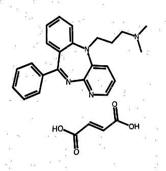 CN(C)CCCN1c2ccccc2C(c2ccccc2)=Nc2ncccc21.O=C(O)/C=C/C(=O)O